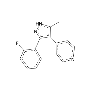 Cc1[nH]nc(-c2ccccc2F)c1-c1ccncc1